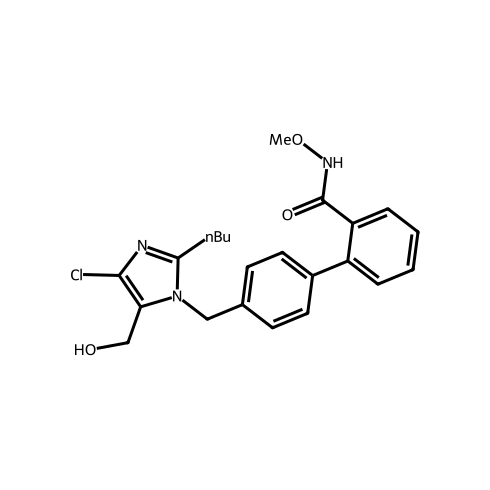 CCCCc1nc(Cl)c(CO)n1Cc1ccc(-c2ccccc2C(=O)NOC)cc1